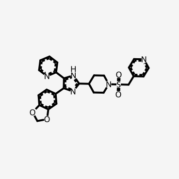 O=S(=O)(Cc1ccncc1)N1CCC(c2nc(-c3ccc4c(c3)OCO4)c(-c3ccccn3)[nH]2)CC1